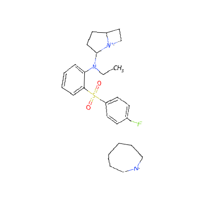 C1CCC[N]CC1.CCN(c1ccccc1S(=O)(=O)c1ccc(F)cc1)C1CCC2CC[N+]21